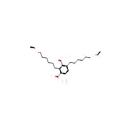 C=COCCCCCCc1ccc(C(=O)O)c(CCCCCCOC=C)c1C(=O)O